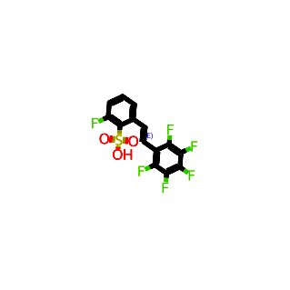 O=S(=O)(O)c1c(F)cccc1/C=C/c1c(F)c(F)c(F)c(F)c1F